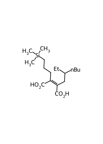 CCCCC(CC)CC(C(=O)O)=C(CCC[Si](C)(C)C)C(=O)O